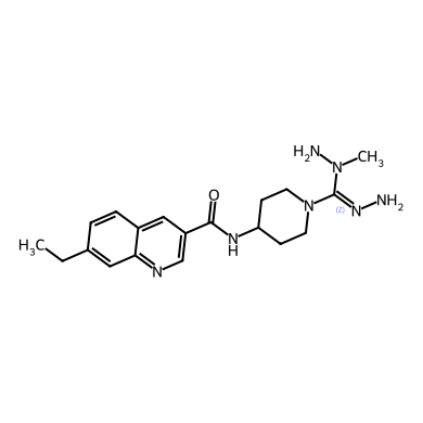 CCc1ccc2cc(C(=O)NC3CCN(/C(=N/N)N(C)N)CC3)cnc2c1